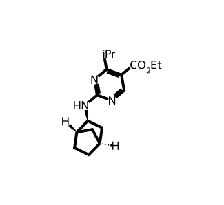 CCOC(=O)c1cnc(N[C@H]2C[C@H]3CC[C@H]2C3)nc1C(C)C